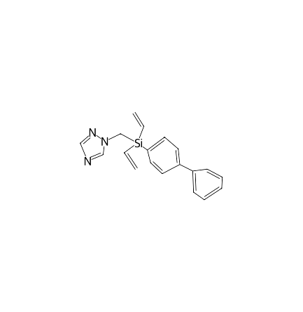 C=C[Si](C=C)(Cn1cncn1)c1ccc(-c2ccccc2)cc1